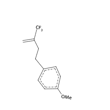 C=C(CCc1ccc(OC)cc1)C(F)(F)F